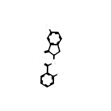 O=Cc1ccccc1C(=O)NC1Cc2ccc(F)cc2C1=O